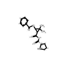 CC1(C)C(SC(=O)c2ccccc2)C1C(=O)OC(=O)[C@@H]1CCCN1